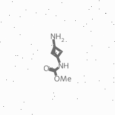 COC(=O)NC12CC(N)(C1)C2